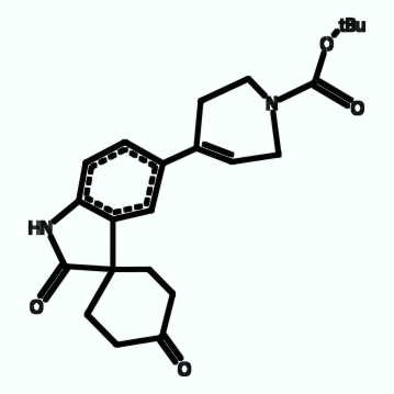 CC(C)(C)OC(=O)N1CC=C(c2ccc3c(c2)C2(CCC(=O)CC2)C(=O)N3)CC1